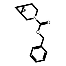 [B]C12CCN(C(=O)OCc3ccccc3)CC1C2